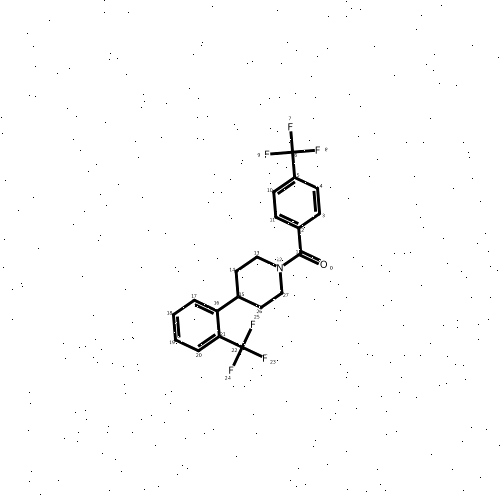 O=C(c1ccc(C(F)(F)F)cc1)N1CCC(c2ccccc2C(F)(F)F)CC1